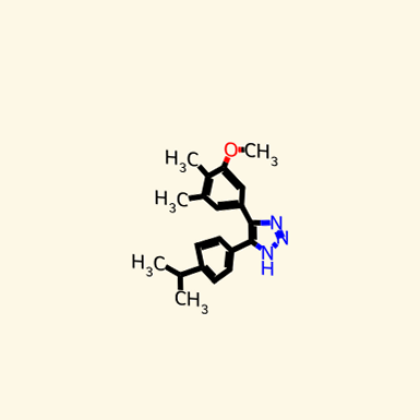 COc1cc(-c2nn[nH]c2-c2ccc(C(C)C)cc2)cc(C)c1C